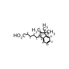 C=C1N(CCCCC(=O)O)c2ccccc2C1(C)C